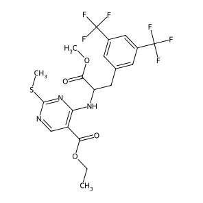 CCOC(=O)c1cnc(SC)nc1NC(Cc1cc(C(F)(F)F)cc(C(F)(F)F)c1)C(=O)OC